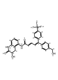 O=C(C=CC=C(c1ccc(CO)cc1)c1ccc(C(F)(F)F)cc1)Nc1cccc2c1CC(O)C(=O)N2